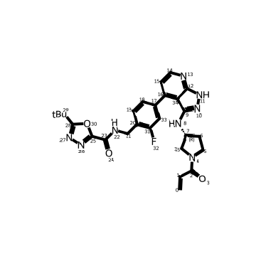 C=CC(=O)N1CC[C@@H](Nc2n[nH]c3nccc(-c4ccc(CNC(=O)c5nnc(C(C)(C)C)o5)c(F)c4)c23)C1